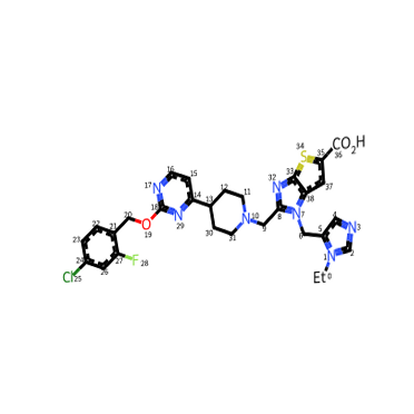 CCn1cncc1Cn1c(CN2CCC(c3ccnc(OCc4ccc(Cl)cc4F)n3)CC2)nc2sc(C(=O)O)cc21